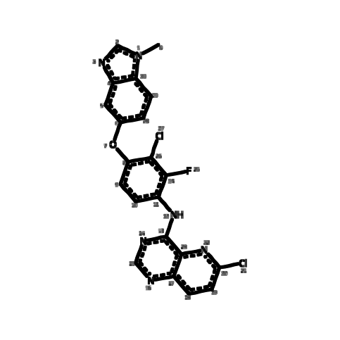 Cn1cnc2cc(Oc3ccc(Nc4ncnc5ccc(Cl)nc45)c(F)c3Cl)ccc21